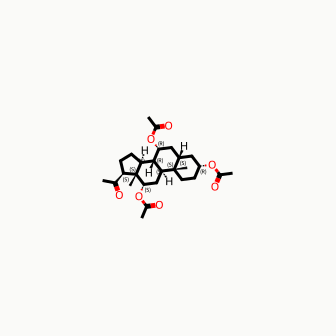 CC(=O)O[C@@H]1CC[C@@]2(C)[C@@H](C1)C[C@@H](OC(C)=O)[C@@H]1[C@@H]2C[C@H](OC(C)=O)[C@]2(C)[C@@H](C(C)=O)CC[C@@H]12